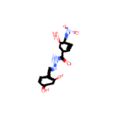 O=C(NN=Cc1ccc(O)cc1O)c1ccc([N+](=O)[O-])c(O)c1